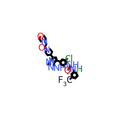 Nc1ncnn2c(C3CCN(C(=O)CN4CCOCC4)CC3)cc(-c3ccc(NC(=O)Nc4cc(C(F)(F)F)ccc4F)c(Cl)c3)c12